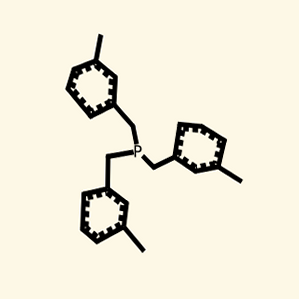 Cc1cccc(CP(Cc2cccc(C)c2)Cc2cccc(C)c2)c1